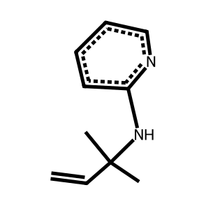 C=CC(C)(C)Nc1ccccn1